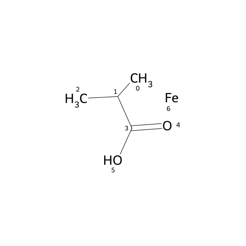 CC(C)C(=O)O.[Fe]